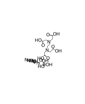 CC(=O)[O-].N.N.N.O=C(O)CN(CCN(CC(=O)O)CC(=O)O)CC(=O)O.OB(O)O.[Na+]